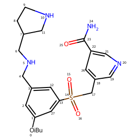 CC(C)COc1cc(CNCC2CCNC2)cc(S(=O)(=O)Cc2cncc(C(N)=O)c2)c1